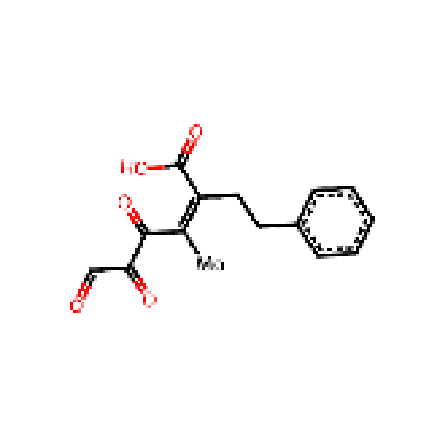 O=[C]C(=O)C(=O)[C]([Mo])=C(CCc1ccccc1)C(=O)O